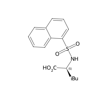 CCC(C)[C@H](NS(=O)(=O)c1cccc2ccccc12)C(=O)O